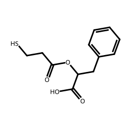 O=C(CCS)OC(Cc1ccccc1)C(=O)O